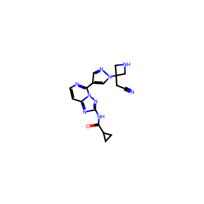 N#CCC1(n2cc(-c3nccc4nc(NC(=O)C5CC5)nn34)cn2)CNC1